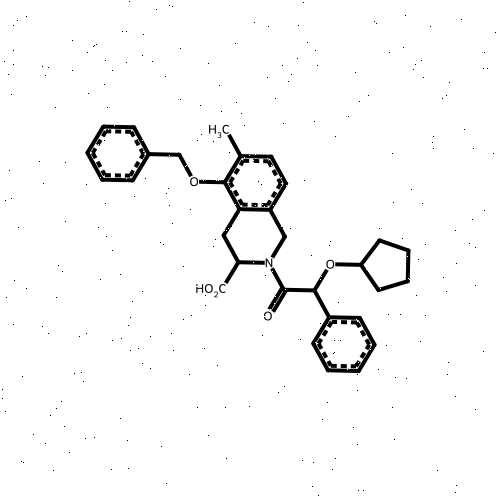 Cc1ccc2c(c1OCc1ccccc1)CC(C(=O)O)N(C(=O)C(OC1CCCC1)c1ccccc1)C2